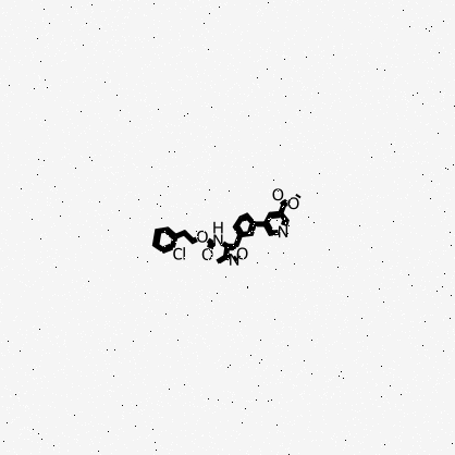 COC(=O)c1cncc(-c2cccc(-c3onc(C)c3NC(=O)OCCc3ccccc3Cl)c2)c1